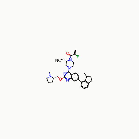 C=C(F)C(=O)N1CCN(c2nc(OC[C@@H]3CCCN3C)nc3cc(-c4cccc5c4C(C)CC5)ccc23)C[C@@H]1CC#N